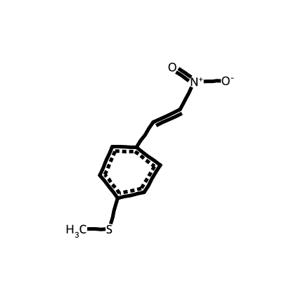 CSc1ccc(/C=C/[N+](=O)[O-])cc1